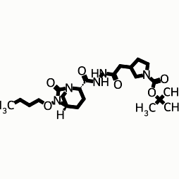 CCCCON1C(=O)N2C[C@@H]1CC[C@H]2C(=O)NNC(=O)CC1CCN(C(=O)OC(C)(C)C)C1